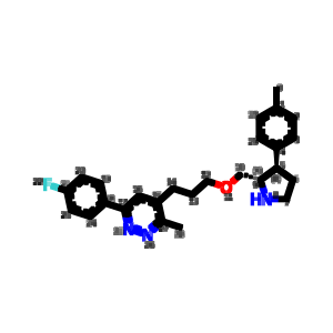 Cc1ccc([C@H]2CCN[C@@H]2COCCCc2cc(-c3ccc(F)cc3)nnc2C)cc1